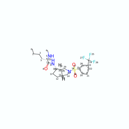 CCCC[C@H](NC)C(=O)N[C@H]1CC[C@@H]2CN(S(=O)(=O)c3cccc(C(F)(F)F)c3)C[C@@H]21